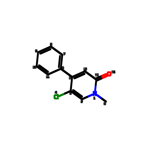 Cn1cc(Cl)c(-c2ccccc2)cc1=O